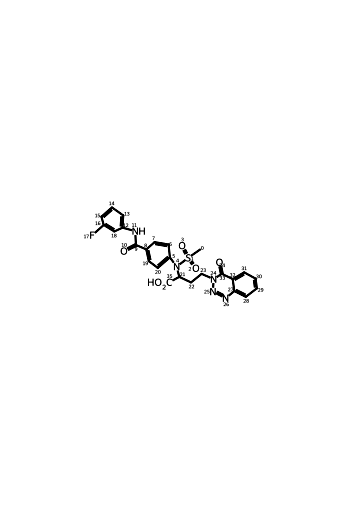 CS(=O)(=O)N(c1ccc(C(=O)Nc2cccc(F)c2)cc1)C(CCn1nnc2ccccc2c1=O)C(=O)O